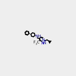 FC(F)(F)c1c(CN[C@H]2CC[C@H](c3ccccc3)CC2)ccn2c(CC3CC3)nnc12